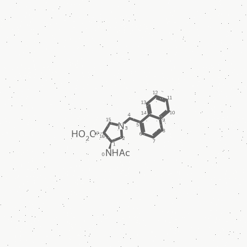 CC(=O)N[C@@H]1CN(Cc2cccc3ccccc23)C[C@H]1C(=O)O